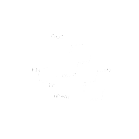 CCCCC[n+]1cc[nH]c1.O=C([O-])c1ccc2c(c1)C(=O)c1ccccc1C2=O